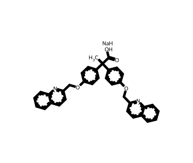 CC(C(=O)O)(c1ccc(OCc2ccc3ccccc3n2)cc1)c1ccc(OCc2ccc3ccccc3n2)cc1.[NaH]